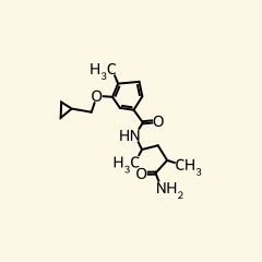 Cc1ccc(C(=O)NC(C)CC(C)C(N)=O)cc1OCC1CC1